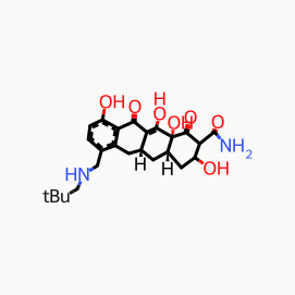 CC(C)(C)CNCc1ccc(O)c2c1C[C@H]1C[C@H]3CC(O)C(C(N)=O)C(=O)[C@@]3(O)C(O)=C1C2=O